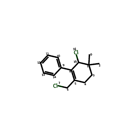 CC1(C)CCC(CCl)=C(c2ccccc2)C1Cl